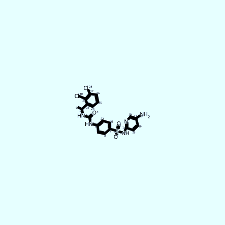 CC(NC(=O)Nc1ccc(S(=O)(=O)Nc2ccc(N)cn2)cc1)c1cccc(Cl)c1Cl